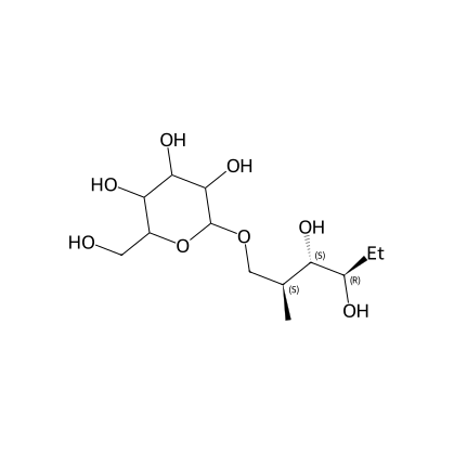 CC[C@@H](O)[C@@H](O)[C@@H](C)COC1OC(CO)C(O)C(O)C1O